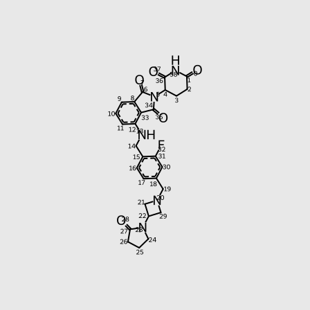 O=C1CCC(N2C(=O)c3cccc(NCc4ccc(CN5CC(N6CCCC6=O)C5)cc4F)c3C2=O)C(=O)N1